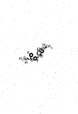 CCNc1ccc2c(n1)N(C)CCN(Cc1ccc(O[C@@H](CCNC)c3cccc(F)c3)cc1F)C2=O